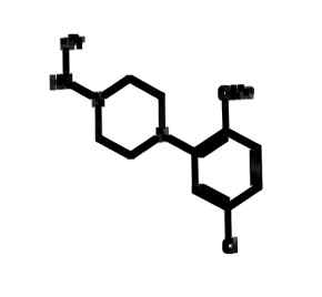 CCCNN1CCN(c2cc(Cl)ccc2OC)CC1